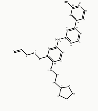 C=CCOCc1cc(Nc2nccc(-c3ccnc(O)c3)n2)ccc1OCCN1CCCC1